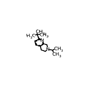 CC(C)N1CCc2ccc(C(C)(C)C)nc2C1